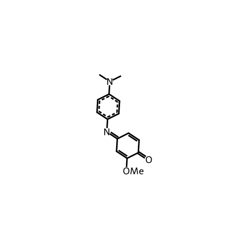 COC1=CC(=Nc2ccc(N(C)C)cc2)C=CC1=O